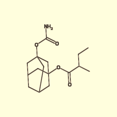 CCC(C)C(=O)OC12CC3CC(CC(OC(N)=O)(C3)C1)C2